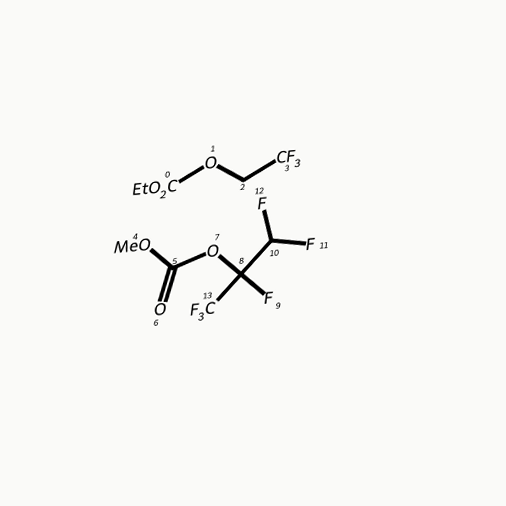 CCOC(=O)OCC(F)(F)F.COC(=O)OC(F)(C(F)F)C(F)(F)F